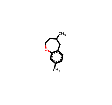 Cc1ccc2c(c1)OCCC(C)C2